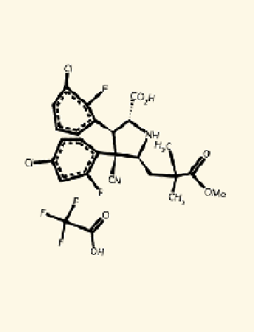 COC(=O)C(C)(C)C[C@@H]1N[C@@H](C(=O)O)[C@H](c2cccc(Cl)c2F)[C@@]1(C#N)c1ccc(Cl)cc1F.O=C(O)C(F)(F)F